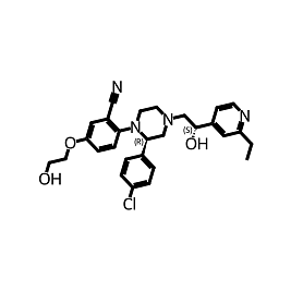 CCc1cc([C@H](O)CN2CCN(c3ccc(OCCO)cc3C#N)[C@H](c3ccc(Cl)cc3)C2)ccn1